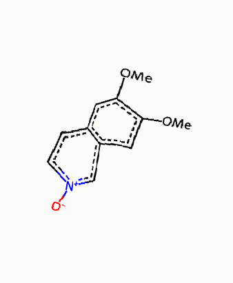 COc1cc2cc[n+]([O-])cc2cc1OC